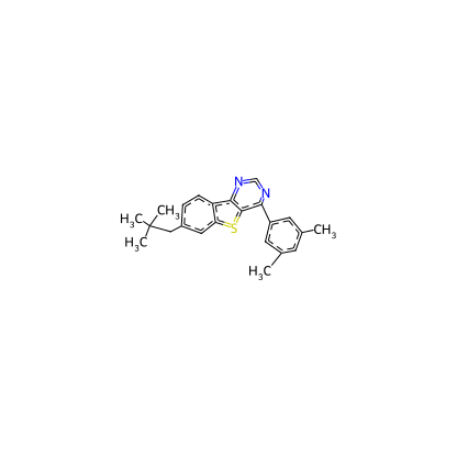 Cc1cc(C)cc(-c2ncnc3c2sc2cc(CC(C)(C)C)ccc23)c1